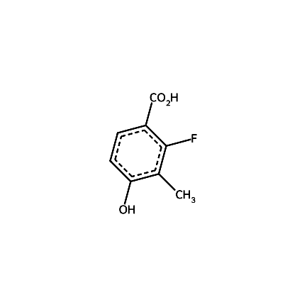 Cc1c(O)ccc(C(=O)O)c1F